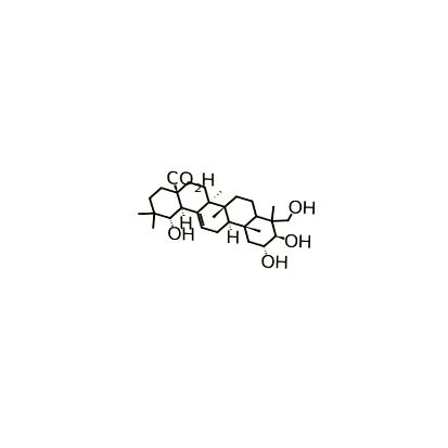 CC1(C)CC[C@]2(C(=O)O)CC[C@]3(C)C(=CC[C@@H]4[C@@]5(C)C[C@@H](O)[C@H](O)C(C)(CO)C5CC[C@]43C)[C@H]2[C@@H]1O